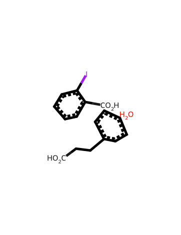 O.O=C(O)CCc1ccccc1.O=C(O)c1ccccc1I